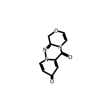 O=c1ccn2nc3n(c(=O)c2c1)C=COC3